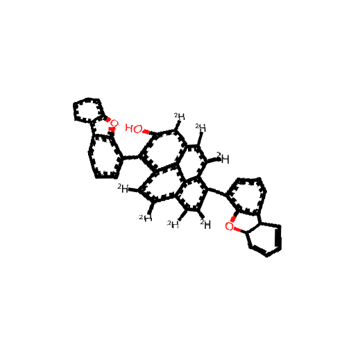 [2H]c1c([2H])c2c([2H])c([2H])c3c(-c4cccc5c4oc4ccccc45)c(O)c([2H])c4c([2H])c([2H])c(c1-c1cccc5c1OC1C=CC=CC51)c2c43